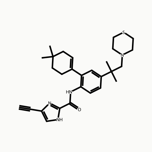 C#Cc1c[nH]c(C(=O)Nc2ccc(C(C)(C)CN3CCSCC3)cc2C2=CCC(C)(C)CC2)n1